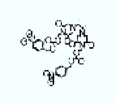 C[C@H]([C@H](C)N1CC(=O)N(COC(=O)OCc2ccc([N+](=O)[O-])cc2)C(=O)C1)N1CC(=O)N(COC(=O)OCc2ccc([N+](=O)[O-])cc2)C(=O)C1